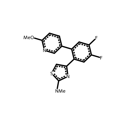 CNc1nc(-c2cc(F)c(F)cc2-c2ccc(OC)nc2)cs1